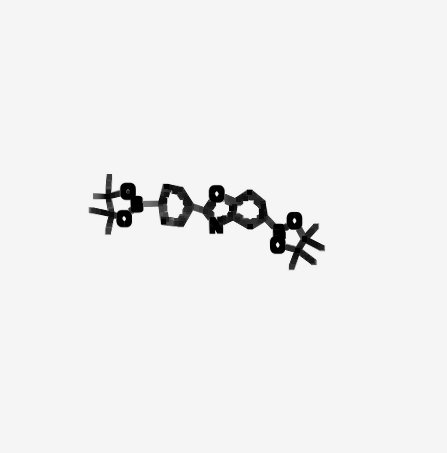 CC1(C)OB(c2ccc(-c3nc4cc(B5OC(C)(C)C(C)(C)O5)ccc4o3)cc2)OC1(C)C